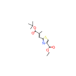 CCOC(=O)c1csc(/C=C(\C)C(=O)OC(C)(C)C)n1